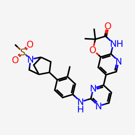 Cc1cc(Nc2nccc(-c3cnc4c(c3)OC(C)(C)C(=O)N4)n2)ccc1C1CC2CC1CN2S(C)(=O)=O